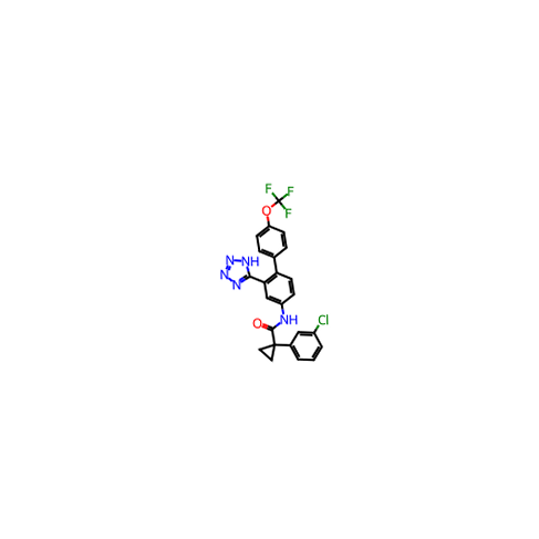 O=C(Nc1ccc(-c2ccc(OC(F)(F)F)cc2)c(-c2nnn[nH]2)c1)C1(c2cccc(Cl)c2)CC1